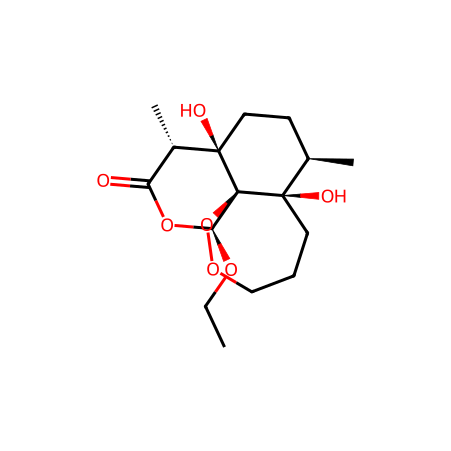 CCO[C@H]1OC(=O)[C@H](C)[C@]2(O)CC[C@@H](C)[C@]3(O)CCCOO[C@]132